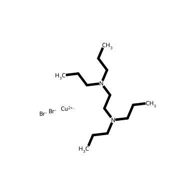 CCCN(CCC)CCN(CCC)CCC.[Br-].[Br-].[Cu+2]